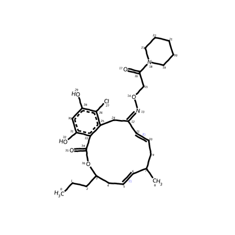 CCCC1C/C=C/C(C)C/C=C/C(=NOCC(=O)N2CCCCC2)Cc2c(Cl)c(O)cc(O)c2C(=O)O1